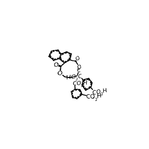 O=C(O)c1ccc(C(=O)O)cc1.O=C(O)c1cccc(C(=O)O)c1.O=C1OCCCCOC(=O)c2c1ccc1ccccc21